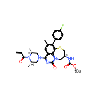 C=CC(=O)N1[C@H](C)CN(c2nc(=O)n3c4c(c(-c5ccc(F)cc5)c(C)cc24)SC[C@@H](NC(=O)OC(C)(C)C)C3)C[C@@H]1C